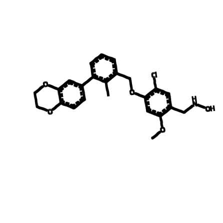 COc1cc(OCc2cccc(-c3ccc4c(c3)OCCO4)c2C)c(Cl)cc1CNO